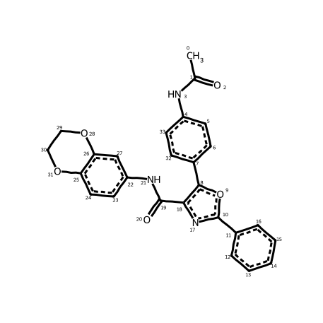 CC(=O)Nc1ccc(-c2oc(-c3ccccc3)nc2C(=O)Nc2ccc3c(c2)OCCO3)cc1